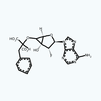 Nc1ncnc2c1ncn2[C@@H]1O[C@@H]2C(OC(Cc3ccccc3)(C(=O)O)C(=O)O)[C@]2(O)[C@H]1F